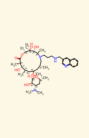 CC[C@H]1OC(=O)[C@H](C)[C@@H](O)[C@H](C)[C@@H](O[C@@H]2O[C@H](C)C[C@H](N(C)C)[C@H]2O)[C@](C)(O)C[C@@H](C)CN(CCCNCc2cnc3ccccc3c2)[C@H](C)[C@@H](O)[C@]1(C)O